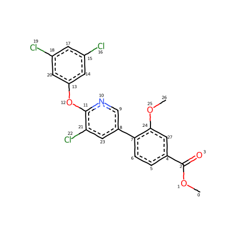 COC(=O)c1ccc(-c2cnc(Oc3cc(Cl)cc(Cl)c3)c(Cl)c2)c(OC)c1